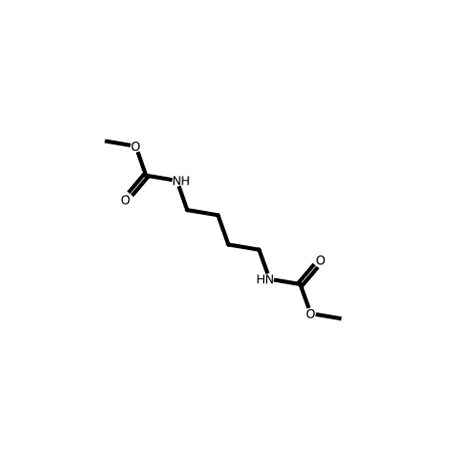 COC(=O)NCCCCNC(=O)OC